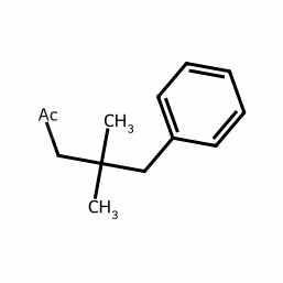 CC(=O)CC(C)(C)Cc1ccccc1